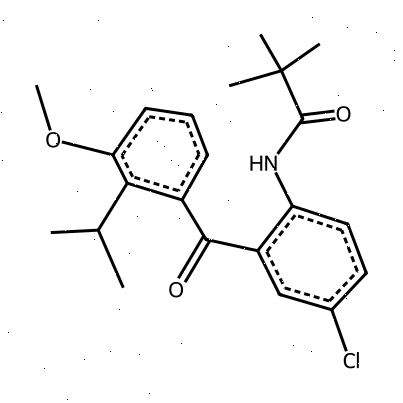 COc1cccc(C(=O)c2cc(Cl)ccc2NC(=O)C(C)(C)C)c1C(C)C